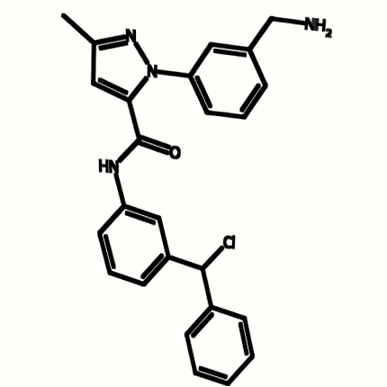 Cc1cc(C(=O)Nc2cccc(C(Cl)c3ccccc3)c2)n(-c2cccc(CN)c2)n1